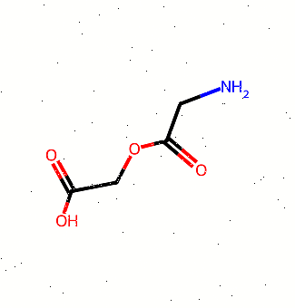 NCC(=O)OCC(=O)O